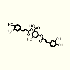 Cc1cc(/C=C/C(=O)O[C@]2(C(=O)O)C[C@@H](O)C[C@H](OC(=O)/C=C/c3ccc(O)c(O)c3)C2)ccc1O